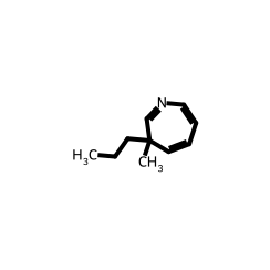 CCCC1(C)C=CC=CN=C1